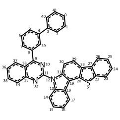 c1ccc(-c2cccc(-c3nc(-n4c5ccccc5c5c6sc7ccccc7c6ccc54)nc4ccccc34)c2)cc1